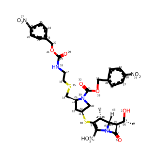 C[C@@H](O)[C@H]1C(=O)N2C(C(=O)O)=C(S[C@H]3C[C@@H](CSCCNC(=O)OCc4ccc([N+](=O)[O-])cc4)N(C(=O)OCc4ccc([N+](=O)[O-])cc4)C3)[C@H](C)[C@H]12